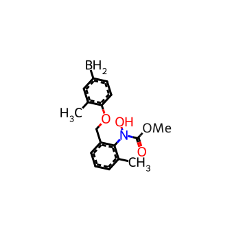 Bc1ccc(OCc2cccc(C)c2N(O)C(=O)OC)c(C)c1